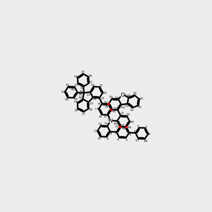 c1ccc(-c2ccc(-c3ccccc3N(c3ccc(-c4cccc5c4-c4ccccc4C5(c4ccccc4)c4ccccc4)cc3)c3ccccc3-c3cccc4oc5ccccc5c34)cc2)cc1